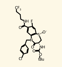 CC(C)(C)OC(=O)N[C@H]1C[S@+]([O-])c2cc(F)c(C(=O)NCCCC(F)(F)F)cc2N(Cc2ccc(Cl)cc2)C1=O